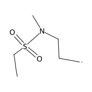 [CH2]CCN(C)S(=O)(=O)CC